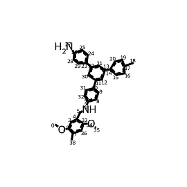 COc1cc(CNc2ccc(-c3cc(-c4ccc(C)cc4)cc(-c4ccc(N)cc4)c3)cc2)c(OC)cc1C